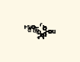 O=C(O)c1cccc(S(=O)(=O)N2CCC(n3c(C4CC4)nc4ccc(C(c5ccc(Cl)cc5)c5ccc(Cl)cc5)cc43)CC2)c1